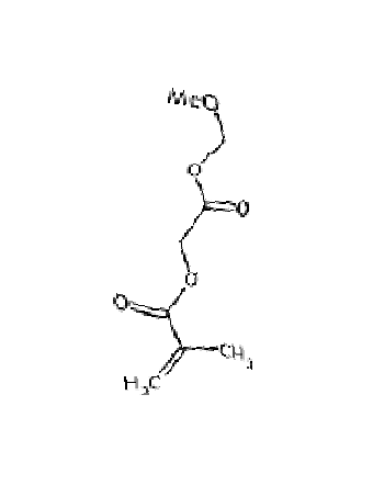 C=C(C)C(=O)OCC(=O)OCOC